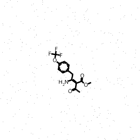 COC(=O)C(C(C)=O)=C(N)Cc1ccc(OC(F)(F)F)cc1